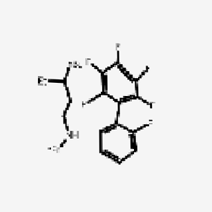 CCCCC(CC)CCNCCC.Fc1ccccc1-c1c(F)c(F)c(F)c(F)c1F